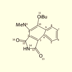 CNc1c2c(c3ccccc3c1OCC(C)C)C(=O)NC2=O